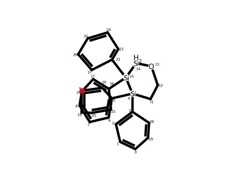 c1ccc([Si]2(c3ccccc3)CCO[SiH2][Si]2(c2ccccc2)c2ccccc2)cc1